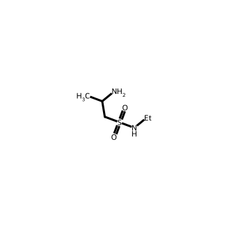 CCNS(=O)(=O)CC(C)N